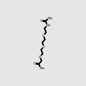 CC(C)(C)C(=O)COCCOCCOCCNC(=O)C(C)(C)C